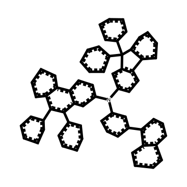 c1ccc(-c2c(-c3ccccc3)c3cc(N(c4cccc(-c5cccc6ccccc56)c4)c4ccc5c(c4)C(c4ccccc4)(c4ccccc4)c4ccccc4-5)ccc3c3ccccc23)cc1